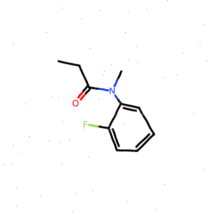 CCC(=O)N(C)c1ccccc1F